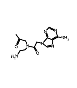 CC(=O)CN(CCN)C(=O)Cn1cnc2c(N)ncnc21